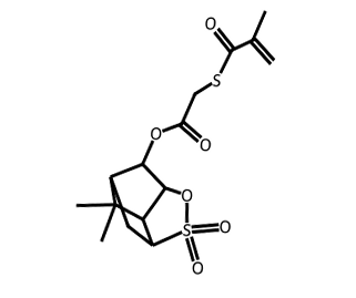 C=C(C)C(=O)SCC(=O)OC1C2OS(=O)(=O)C3CC1C(C)(C)C23